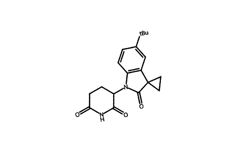 CC(C)(C)c1ccc2c(c1)C1(CC1)C(=O)N2C1CCC(=O)NC1=O